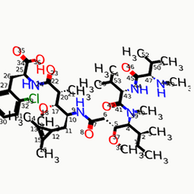 CC[C@H](C)[C@@H]([C@@H](CC(=O)N[C@@H](CC1C(C)=C1C)[C@H](OC)[C@@H](C)C(=O)N[C@@H](Cc1ccccc1Cl)C(=O)O)OC)N(C)C(=O)[C@@H](NC(=O)[C@@H](NC)C(C)C)C(C)C